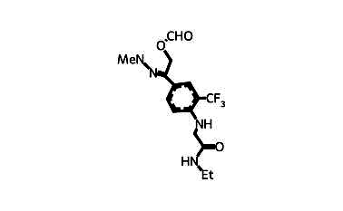 CCNC(=O)CNc1ccc(/C(COC=O)=N/NC)cc1C(F)(F)F